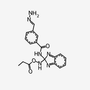 CCC(=O)ONC1(NC(=O)c2cccc(C=NN)c2)N=c2ccccc2=N1